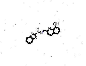 Oc1cccc2ccc(/C=N/Nc3nc4ccccc4s3)nc12